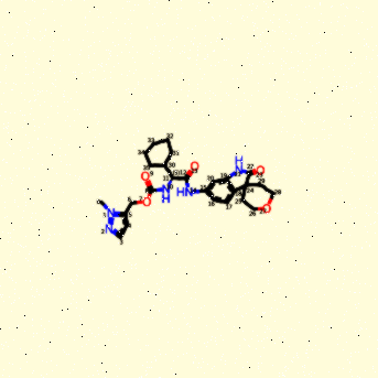 Cn1nccc1COC(=O)N[C@H](C(=O)Nc1ccc2c(c1)NC(=O)C21CCOCC1)C1CCCCC1